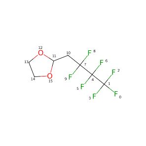 FC(F)(F)C(F)(F)C(F)(F)CC1OCCO1